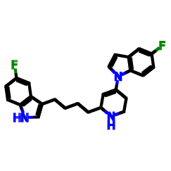 Fc1ccc2c(ccn2C2=CC(CCCCc3c[nH]c4ccc(F)cc34)NCC2)c1